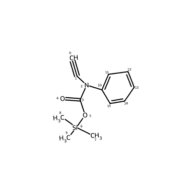 C#CN(C(=O)O[Si](C)(C)C)c1ccccc1